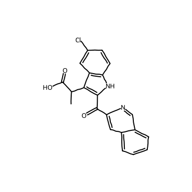 CC(C(=O)O)c1c(C(=O)c2cc3ccccc3cn2)[nH]c2ccc(Cl)cc12